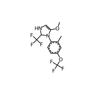 COC1=CNC(C(F)(F)F)N1c1ccc(OC(F)(F)F)cc1C